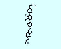 CCCc1ccc(COc2ccc(-c3ccc(C4CCC(CC)CC4)c(F)c3F)cc2)c(F)c1